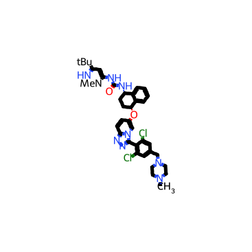 CN/C(=C\C(=N)C(C)(C)C)NC(=O)N[C@H]1CC[C@@H](Oc2ccc3nnc(-c4c(Cl)cc(CN5CCN(C)CC5)cc4Cl)n3c2)c2ccccc21